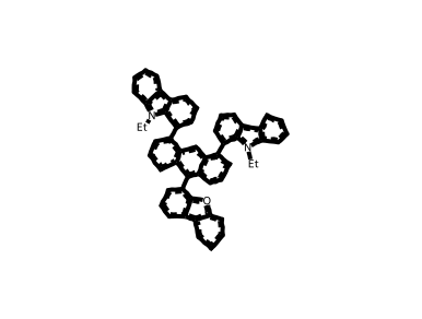 CCn1c2ccccc2c2cccc(-c3cccc4c(-c5cccc6c5oc5ccccc56)c5cccc(-c6cccc7c8ccccc8n(CC)c67)c5cc34)c21